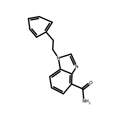 NC(=O)c1cccc2c1ncn2CCc1ccccc1